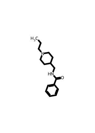 CCCN1CCC(CNC(=O)c2ccccc2)CC1